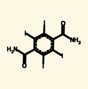 NC(=O)c1c(I)c(I)c(C(N)=O)c(I)c1I